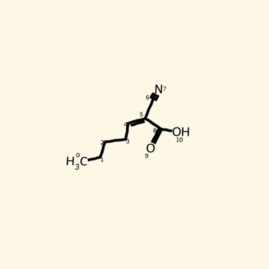 CCCC/C=C(/C#N)C(=O)O